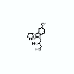 COc1ccc2c(c1)c1c(n2CC(O)CO)CN2CCC1C2